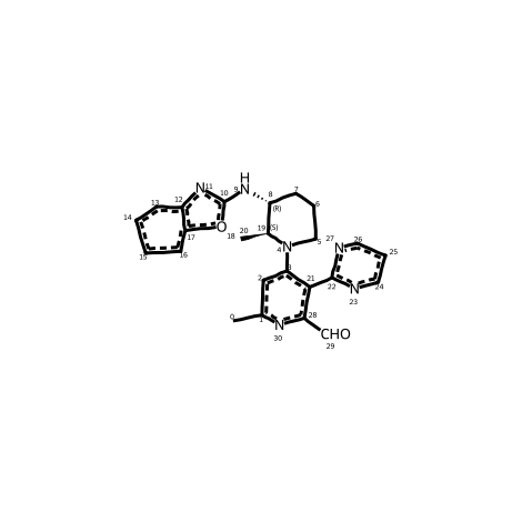 Cc1cc(N2CCC[C@@H](Nc3nc4ccccc4o3)[C@@H]2C)c(-c2ncccn2)c(C=O)n1